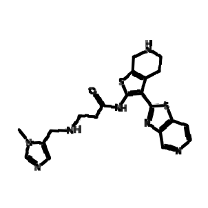 Cn1cncc1CNCCC(=O)Nc1sc2c(c1-c1nc3cnccc3s1)CCNC2